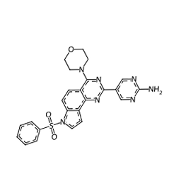 Nc1ncc(-c2nc(N3CCOCC3)c3ccc4c(ccn4S(=O)(=O)c4ccccc4)c3n2)cn1